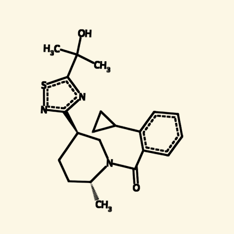 C[C@@H]1CC[C@@H](c2nsc(C(C)(C)O)n2)CN1C(=O)c1ccccc1C1CC1